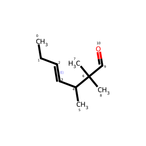 CC/C=C/C(C)C(C)(C)C=O